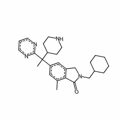 Cc1cc(C(C)(c2ncccn2)C2CCNCC2)cc2c1C(=O)N(CC1CCCCC1)C2